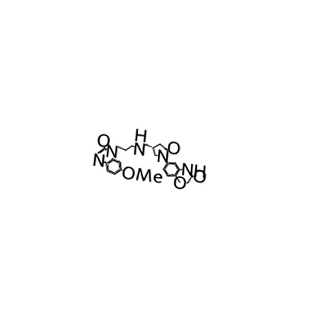 COc1ccc2ncc(=O)n(CCCNC[C@H]3CC(=O)N(c4ccc5c(c4)NC(=O)CO5)C3)c2c1